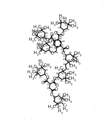 CN1C(C)(C)CC(OC(=O)CC(C(=O)OC2CC(C)(C)N(C)C(C)(C)C2)C(=O)OC2CC(C)(C)N(C)C(C)(CCC3(C)CC(OC(=O)c4cc(C(=O)OC5CC(C)(C)NC(C)(C)C5)c(C(=O)OC5CC(C)(C)NC(C)(C)C5)cc4COC4CC(C)(C)NC(C)(C)C4)CC(C)(C)N3)C2)CC1(C)C